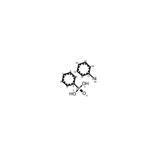 O=P(O)(O)c1ccccc1.[Ni][c]1ccccc1